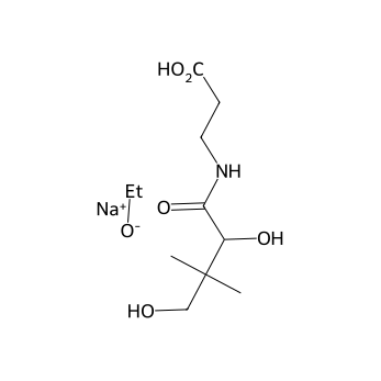 CC(C)(CO)C(O)C(=O)NCCC(=O)O.CC[O-].[Na+]